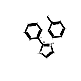 Cc1ccccc1.c1ccc(-c2ncco2)cc1